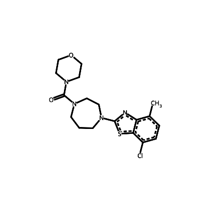 Cc1ccc(Cl)c2sc(N3CCCN(C(=O)N4CCOCC4)CC3)nc12